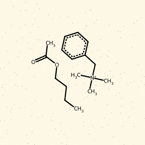 CCCCOC(C)=O.C[N+](C)(C)Cc1ccccc1